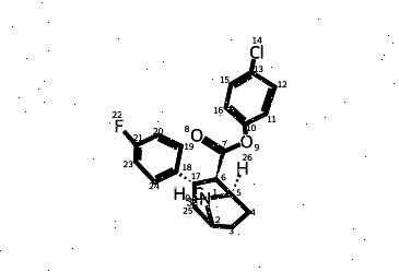 CN1C2CC[C@@H]1[C@H](C(=O)Oc1ccc(Cl)cc1)[C@@H](c1ccc(F)cc1)C2